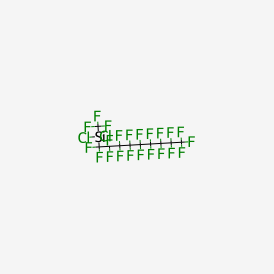 FC(F)(F)C(F)(F)C(F)(F)C(F)(F)C(F)(F)C(F)(F)C(F)(F)C(F)(F)C(F)(F)[Si](Cl)(Cl)C(F)(F)F